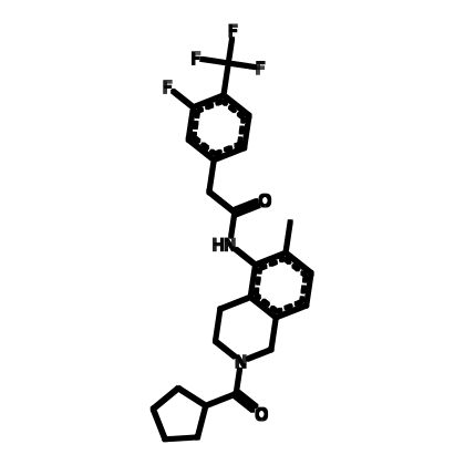 Cc1ccc2c(c1NC(=O)Cc1ccc(C(F)(F)F)c(F)c1)CCN(C(=O)C1CCCC1)C2